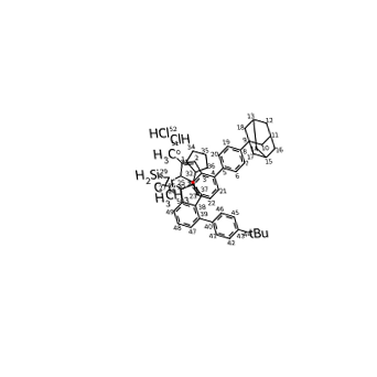 CC1=Cc2c(-c3ccc(C45CC6CC(CC(C6)C4)C5)cc3)cccc2[CH]1[Zr]([CH3])([CH3])(=[SiH2])[CH]1C(C2CCCC2)=Cc2c(-c3ccc(C(C)(C)C)cc3)cccc21.Cl.Cl